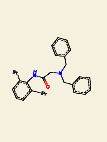 CC(C)c1cccc(C(C)C)c1NC(=O)CN(Cc1ccccc1)Cc1ccccc1